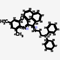 Cc1cc(C)c(/N=C2/C(=N/CCP(c3ccccc3)c3ccccc3)c3cccc4cccc2c34)c(C)c1